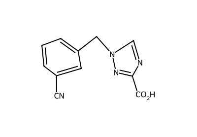 N#Cc1cccc(Cn2cnc(C(=O)O)n2)c1